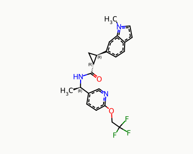 C[C@@H](NC(=O)[C@@H]1C[C@H]1c1ccc2ccn(C)c2c1)c1ccc(OCC(F)(F)F)nc1